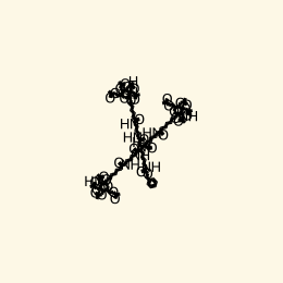 CC(=O)NC1C(OCCCCCC(=O)NCCCNC(=O)CN(C(C=O)NCCCNC(=O)CCCCCOC2OC(COC(C)=O)C(OC(C)=O)C(OC(C)=O)C2NC(C)=O)C(CCCCNC(=O)OCc2ccccc2)C(=O)NCCCNC(=O)CCCCCOC2OC(COC(C)=O)C(OC(C)=O)C(OC(C)=O)C2NC(C)=O)OC(COC(C)=O)C(OC(C)=O)C1OC(C)=O